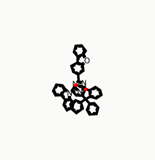 c1ccc(C(c2ccccc2)(c2ccccc2)c2ccccc2-c2nc(-c3ccc4c(c3)oc3ccccc34)nc(-n3c4ccccc4c4ccccc43)n2)cc1